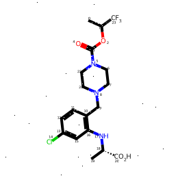 CC(OC(=O)N1CCN(Cc2ccc(Cl)cc2N[C@@H](C)C(=O)O)CC1)C(F)(F)F